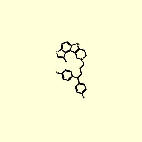 Cc1csc2ccc3[nH]c4c(c3c12)CN(CCCC(c1ccc(F)cc1)c1ccc(F)cc1)CC4